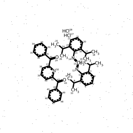 CC(C)c1cccc(C(C)C)c1[N]=[Co]=[N]c1c(C(C)C)cccc1C(C)C.Cl.Cl.O=C(c1ccccc1)c1cccc(C(=O)c2ccccc2)n1